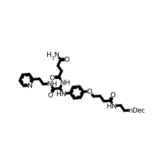 CCCCCCCCCCCCNC(=O)CCCOc1ccc(NC(NC(=O)CCC(N)=O)C(=O)NCCc2ccccn2)cc1